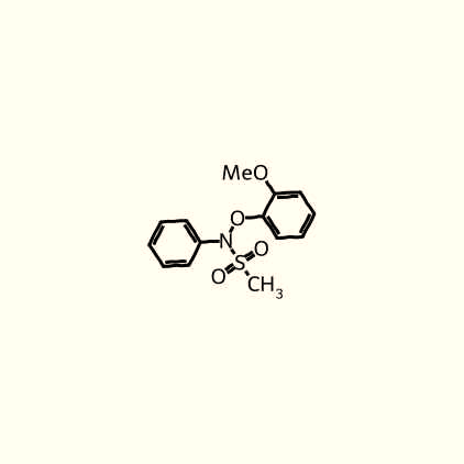 COc1ccccc1ON(c1ccccc1)S(C)(=O)=O